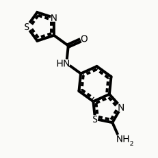 Nc1nc2ccc(NC(=O)c3cscn3)cc2s1